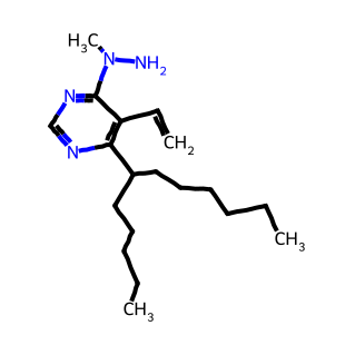 C=Cc1c(C(CCCCC)CCCCCC)ncnc1N(C)N